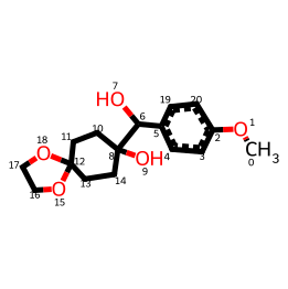 COc1ccc(C(O)C2(O)CCC3(CC2)OCCO3)cc1